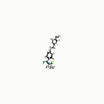 CCCC/C(F)=C(\F)c1ccc(CCc2ccc(CCC)cc2)cc1